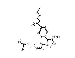 CCCCCC(O)c1ccc(C2C(O)CCC2C/C=C\CCCC(=O)O)cc1